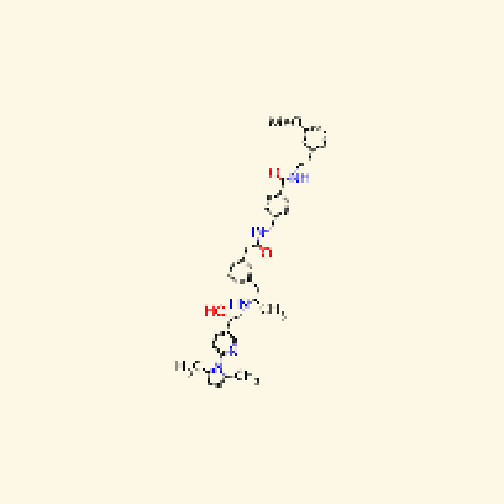 COc1cccc(CCNC(=O)c2ccc(CNC(=O)Cc3cccc(CC(C)NC[C@@H](O)c4ccc(-n5c(C)ccc5C)nc4)c3)cc2)c1